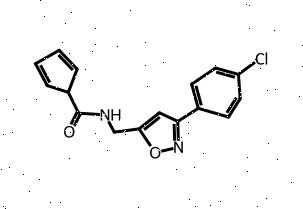 O=C(NCc1cc(-c2ccc(Cl)cc2)no1)C1C=CC=C1